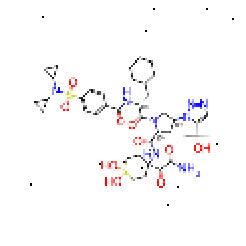 CC(C)(O)c1cnnn1[C@H]1C[C@@H](C(=O)NC2(C(=O)C(N)=O)CCS(O)(O)CC2)N(C(=O)[C@@H](CC2CCCCC2)NC(=O)c2ccc(S(=O)(=O)N(C3CC3)C3CC3)cc2)C1